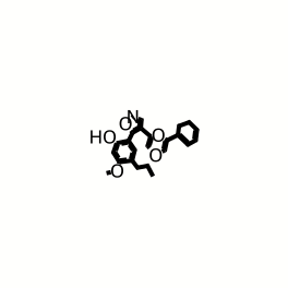 CCCc1cc(-c2oncc2C2=COC=C(C3=CC=CCC3)O2)c(O)cc1OC